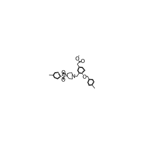 COC(=O)Cc1ccc(OCc2ccc(C)cc2)c(CN2CCN(S(=O)(=O)c3ccc(C)cc3)CC2)c1